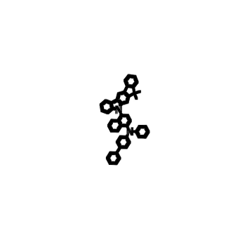 CC1(C)c2ccccc2-c2cc3c4ccccc4n(-c4ccc(N(c5ccccc5)c5ccc(-c6ccccc6)cc5)c5ccccc45)c3cc21